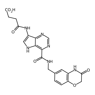 O=C(O)CCC(=O)Nc1c[nH]c2c(C(=O)NCc3ccc4c(c3)NC(=O)CO4)ncnc12